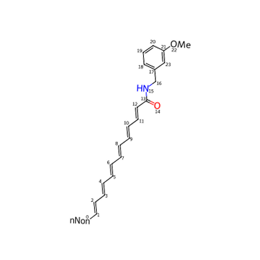 CCCCCCCCCC=CC=CC=CC=CC=CC=CC(=O)NCc1cccc(OC)c1